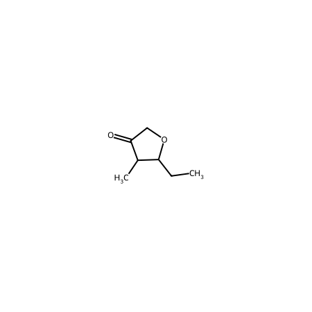 CCC1OCC(=O)C1C